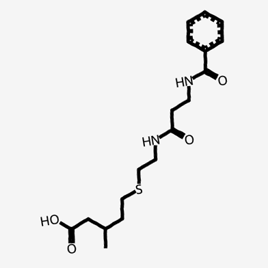 CC(CCSCCNC(=O)CCNC(=O)c1ccccc1)CC(=O)O